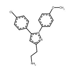 COc1ccc(-n2nc(CCN)cc2-c2ccc(Cl)cc2)cc1